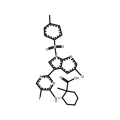 Cc1ccc(S(=O)(=O)n2cc(-c3ncc(F)c(N[C@H]4CCCCC4(C)C(=O)O)n3)c3cc(Cl)cnc32)cc1